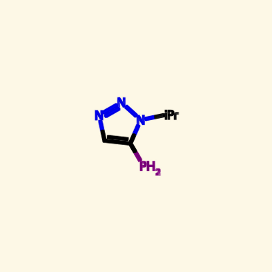 CC(C)n1nncc1P